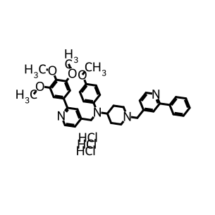 COc1ccc(N(Cc2ccnc(-c3cc(OC)c(OC)c(OC)c3)c2)C2CCN(Cc3ccnc(-c4ccccc4)c3)CC2)cc1.Cl.Cl.Cl